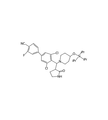 CC(C)[Si](OC1CCN(C(c2c(Cl)cc(-c3ccc(C#N)c(F)c3)cc2Cl)C2CCNC2=O)CC1)(C(C)C)C(C)C